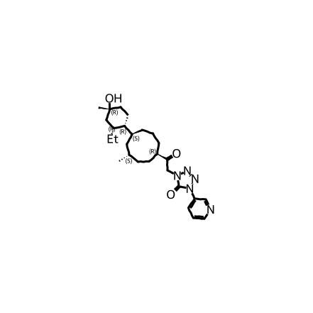 CC[C@@H]1C[C@](C)(O)CC[C@@H]1[C@H]1CCC[C@@H](C(=O)Cn2nnn(-c3cccnc3)c2=O)CC[C@H](C)C1